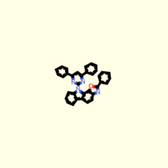 c1ccc(-c2cc(-c3ccccc3)nc(-n3c4ccccc4c4ccc5nc(-c6ccccc6)oc5c43)n2)cc1